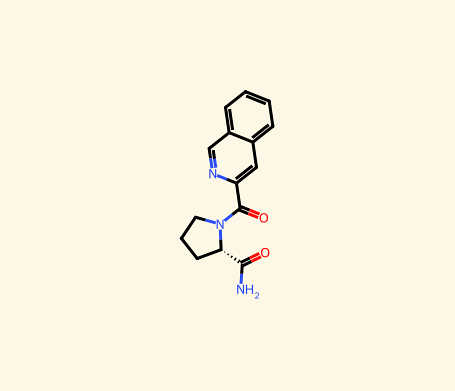 NC(=O)[C@@H]1CCCN1C(=O)c1cc2ccccc2cn1